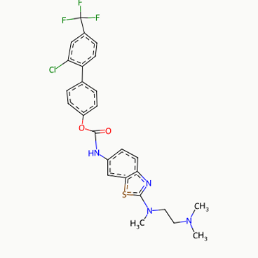 CN(C)CCN(C)c1nc2ccc(NC(=O)Oc3ccc(-c4ccc(C(F)(F)F)cc4Cl)cc3)cc2s1